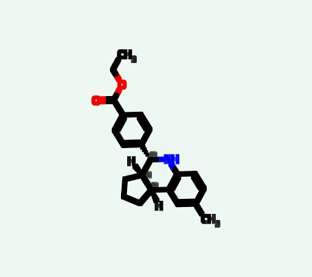 CCOC(=O)c1ccc([C@@H]2Nc3ccc(C)cc3[C@@H]3CCC[C@@H]32)cc1